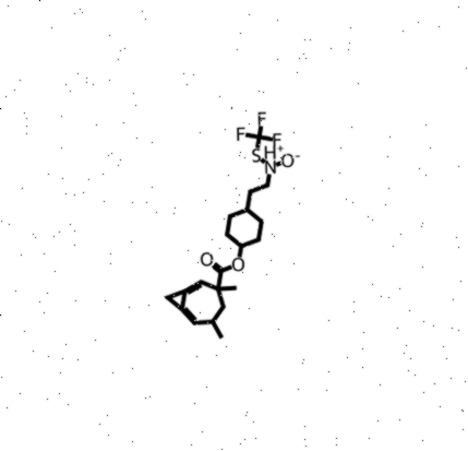 CC1C=C2CC2=CC(C)(C(=O)OC2CCC(CC[NH+]([O-])SC(F)(F)F)CC2)C1